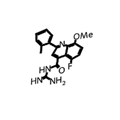 COc1ccc(F)c2c(C(=O)NC(=N)N)cc(-c3ccccc3C)nc12